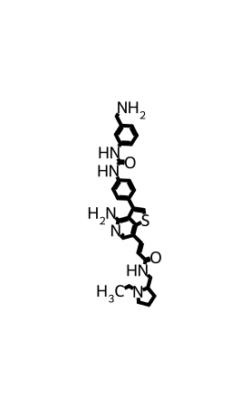 CCN1CCCC1CNC(=O)C=Cc1cnc(N)c2c(-c3ccc(NC(=O)Nc4cccc(CN)c4)cc3)csc12